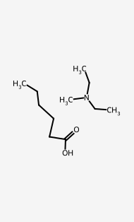 CCCCCC(=O)O.CCN(C)CC